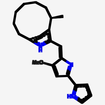 COC1=CC(c2ccc[nH]2)=N/C1=C/c1[nH]c2cc1[C@H](C)CCCCCC2